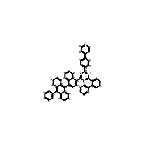 c1ccc(-c2ccccc2-c2nc(-c3ccc(-c4ccncc4)cc3)nc(-c3ccc(-c4c5ccccc5c(-c5ccccc5)c5ccccc45)c4ccccc34)n2)cc1